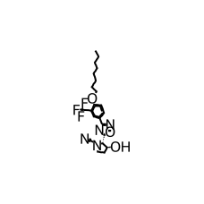 CCCCCCCCOc1ccc(-c2noc([C@@H]3[C@@H](O)CCN3C#N)n2)cc1C(F)(F)F